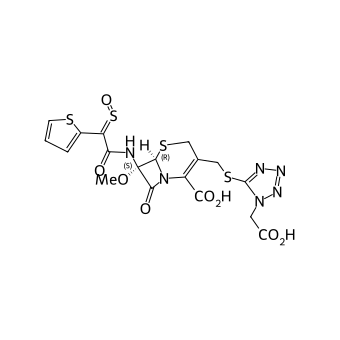 CO[C@@]1(NC(=O)C(=S=O)c2cccs2)C(=O)N2C(C(=O)O)=C(CSc3nnnn3CC(=O)O)CS[C@@H]21